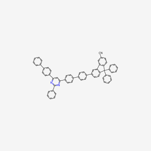 N#Cc1ccc2c(c1)-c1cc(-c3ccc(-c4ccc(-c5cc(-c6ccc(-c7ccccc7)cc6)nc(-c6ccccc6)n5)cc4)cc3)ccc1C2(c1ccccc1)c1ccccc1